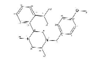 COc1ccc(CN2CC(c3ccccc3C(C)C)N(C)CC2C)cc1